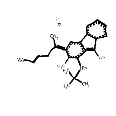 CC(CCCO)=c1cc2c(c(NC(C)(C)C)c1C)=[C]([Ti+2])c1ccccc1-2.[Cl-].[Cl-]